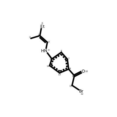 CC/C(C)=C/Nc1ccc(C(=O)CBr)cc1